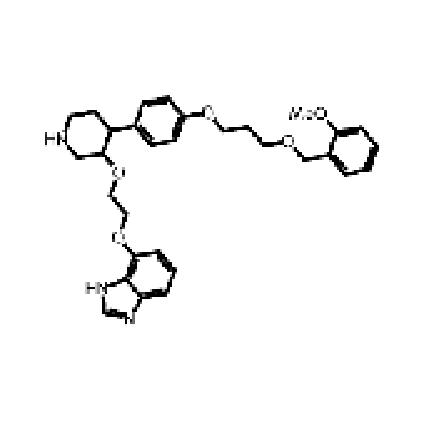 COc1ccccc1COCCCOc1ccc(C2CCNCC2OCCOc2cccc3nc[nH]c23)cc1